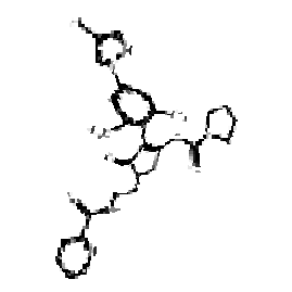 Cc1cc(-n2cc(Cl)cn2)cc(C)c1C1=C(OC(=O)N2CCCC2)CC(CCNC(=O)c2ccccn2)C1=O